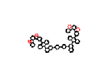 C1=CC2Oc3ccc4oc5ccc(-c6c7ccccc7c(-c7cc(-c8ccc(-c9ccc(-c%10ccc%11c(-c%12c%13ccccc%13c(-c%13ccc%14oc%15ccc%16oc%17ccccc%17c%16c%15c%14c%13)c%13ccccc%12%13)cccc%11c%10)cc9)cc8)c8ccccc8c7)c7ccccc67)cc5c4c3C2C=C1